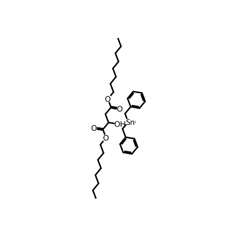 CCCCCCCCOC(=O)CC(O)C(=O)OCCCCCCCC.c1ccc([CH2][Sn][CH2]c2ccccc2)cc1